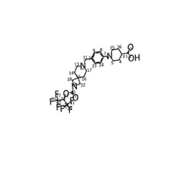 O=C(O)C1CCN(c2ccc(CN3CCC4(CC3)CN(C(=O)OC(C(F)(F)F)C(F)(F)F)C4)cc2)CC1